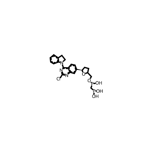 OP(O)CP(O)OCC1CC[C@H](c2ccc3c(N4CCc5ccccc54)nc(Cl)nc3c2)O1